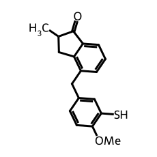 COc1ccc(Cc2cccc3c2CC(C)C3=O)cc1S